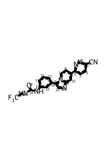 N#Cc1ccc(-c2ccn3c(-c4cccc(NC(=O)NCC(F)(F)F)c4)cnc3c2)nn1